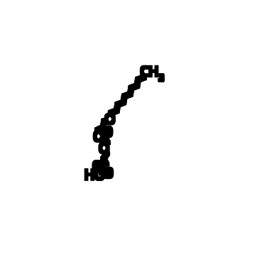 CCCCCCCCCCCOCC1COC(COCCCS(=O)(=O)O)O1